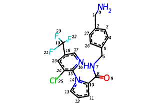 NCc1ccc(CNC(=O)c2cccn2-c2ncc(C(F)(F)F)cc2Cl)cc1